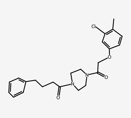 Cc1ccc(OCC(=O)N2CCN(C(=O)CCCc3ccccc3)CC2)cc1Cl